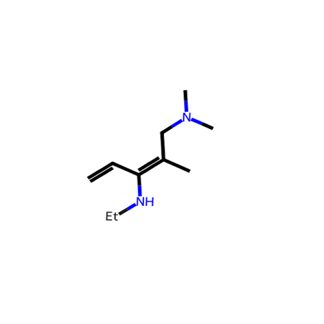 C=C/C(NCC)=C(/C)CN(C)C